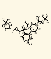 CCOC(C)(COC[C@@H]1COC(C)(C)O1)c1cnc(C)nc1C1CCN(C(=O)OC(C)(C)C)CC1